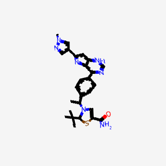 CC(c1ccc(-c2nc[nH]c3cc(-c4cnn(C)c4)nc2-3)cc1)N1C=C(C(N)=O)SC1C(C)(C)C